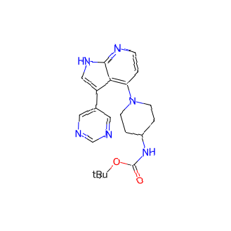 CC(C)(C)OC(=O)NC1CCN(c2ccnc3[nH]cc(-c4cncnc4)c23)CC1